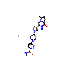 CNC(=O)c1ccc(N2CCC(N3CCC(c4cn5c(C)ccc5c(=O)[nH]4)C3)CC2)cn1